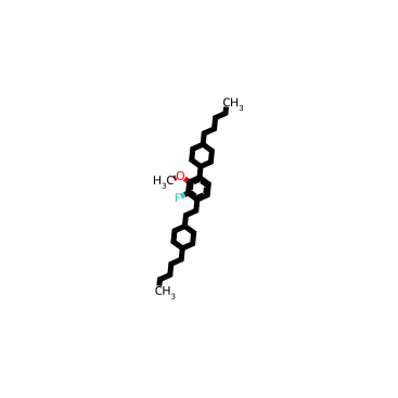 CCCCCC1CCC(CCc2ccc(C3CCC(CCCCC)CC3)c(OC)c2F)CC1